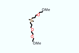 COCCOCCCS(C)(C)CCCOCCOCCOC